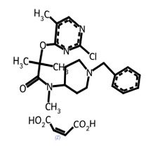 Cc1cnc(Cl)nc1OC(C)(C)C(=O)N(C)C1CCN(Cc2ccccc2)CC1.O=C(O)/C=C\C(=O)O